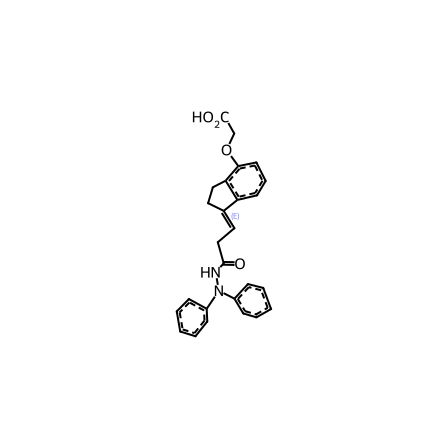 O=C(O)COc1cccc2c1CC/C2=C\CC(=O)NN(c1ccccc1)c1ccccc1